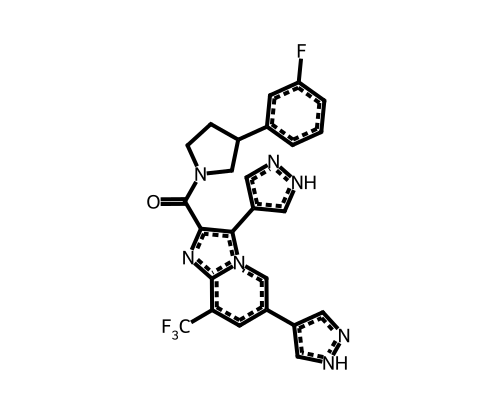 O=C(c1nc2c(C(F)(F)F)cc(-c3cn[nH]c3)cn2c1-c1cn[nH]c1)N1CCC(c2cccc(F)c2)C1